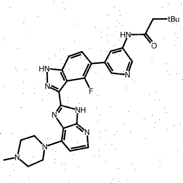 CN1CCN(c2ccnc3[nH]c(-c4n[nH]c5ccc(-c6cncc(NC(=O)CC(C)(C)C)c6)c(F)c45)nc23)CC1